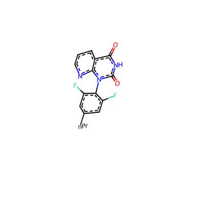 CCCc1cc(F)c(-n2c(=O)[nH]c(=O)c3cccnc32)c(F)c1